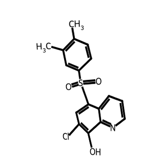 Cc1ccc(S(=O)(=O)c2cc(Cl)c(O)c3ncccc23)cc1C